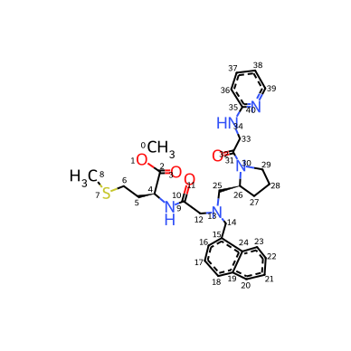 COC(=O)[C@H](CCSC)NC(=O)CN(Cc1cccc2ccccc12)C[C@@H]1CCCN1C(=O)CNc1ccccn1